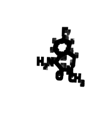 CN1CCc2cc(F)ccc2[C@H](N)C1=O